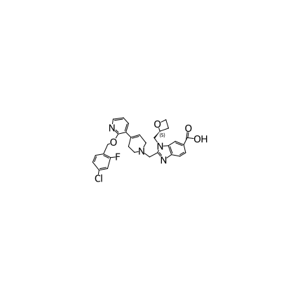 O=C(O)c1ccc2nc(CN3CC=C(c4cccnc4OCc4ccc(Cl)cc4F)CC3)n(C[C@@H]3CCO3)c2c1